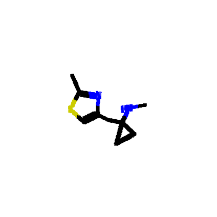 CNC1(c2csc(C)n2)CC1